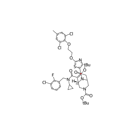 Cc1cc(Cl)c(OCCOc2ncc(C3=C(C(=O)N(Cc4cccc(Cl)c4F)C4CC4)[C@H]4CN(C(=O)OC(C)(C)C)CC(C3)N4C(=O)OC(C)(C)C)s2)c(Cl)c1